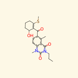 CCCn1c(=O)c2c(C)c(C(=O)C3=C(SC)CCCC3O)ccc2n(C)c1=O